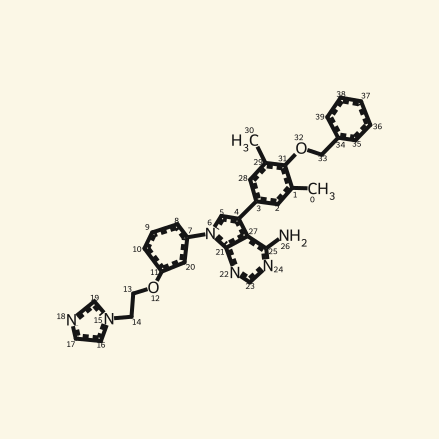 Cc1cc(-c2cn(-c3cccc(OCCn4ccnc4)c3)c3ncnc(N)c23)cc(C)c1OCc1ccccc1